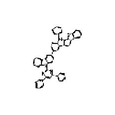 c1ccc(-c2cc(-c3ccccc3)nc(-n3c4ccccc4c4cc(-c5ccc6c(c5)c5ccc7c8ccccc8sc7c5n6-c5ccccc5)ccc43)n2)cc1